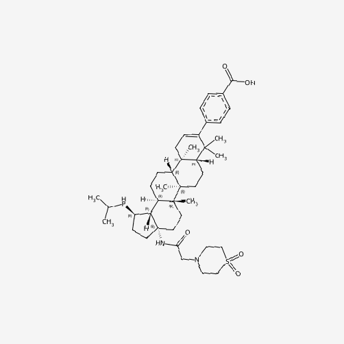 CC(C)P[C@@H]1CC[C@]2(NC(=O)CN3CCS(=O)(=O)CC3)CC[C@]3(C)[C@H](CC[C@@H]4[C@@]5(C)CC=C(c6ccc(C(=O)O)cc6)C(C)(C)[C@@H]5CC[C@]43C)[C@@H]12